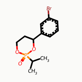 CC(C)P1(=O)OCCC(c2cccc(Br)c2)O1